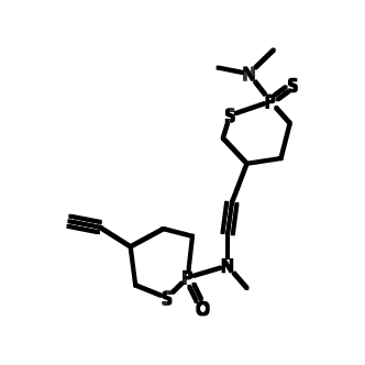 C#CC1CCP(=O)(N(C)C#CC2CCP(=S)(N(C)C)SC2)SC1